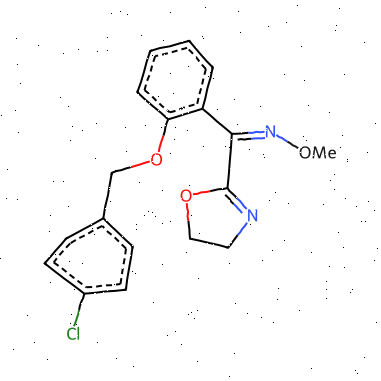 CON=C(C1=NCCO1)c1ccccc1OCc1ccc(Cl)cc1